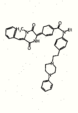 CCN(C(=O)C1=CC/C(=c2/[nH]c(=O)/c(=C/c3ccccc3)n(C)c2=O)C=C1)c1ccc(CCN2CCN(c3ccccc3)CC2)cc1